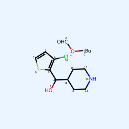 CC(C)(C)OC=O.OC(c1sccc1Cl)C1CCNCC1